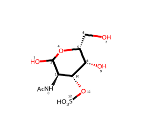 CC(=O)N[C@H]1C(O)O[C@H](CO)[C@H](O)[C@@H]1OS(=O)(=O)O